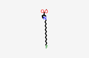 COC(=O)c1ccn(CCCCCCCCCCCCCCF)c1